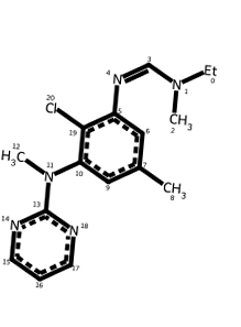 CCN(C)/C=N\c1cc(C)cc(N(C)c2ncccn2)c1Cl